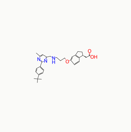 Cc1cc(CNCCCOc2ccc3c(c2)CC[C@H]3CC(=O)O)nc(-c2ccc(C(C)(C)C)cc2)n1